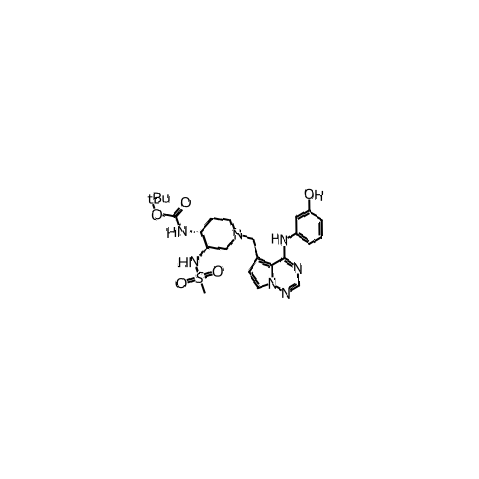 CC(C)(C)OC(=O)N[C@@H]1CCN(Cc2ccn3ncnc(Nc4cccc(O)c4)c23)C[C@H]1NS(C)(=O)=O